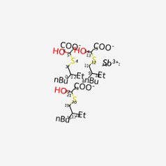 CCCCC(CC)CSC(O)C(=O)[O-].CCCCC(CC)CSC(O)C(=O)[O-].CCCCC(CC)CSC(O)C(=O)[O-].[Sb+3]